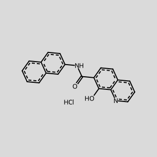 Cl.O=C(Nc1ccc2ccccc2c1)c1ccc2cccnc2c1O